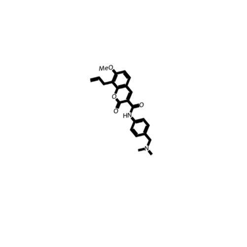 C=CCc1c(OC)ccc2cc(C(=O)Nc3ccc(CN(C)C)cc3)c(=O)oc12